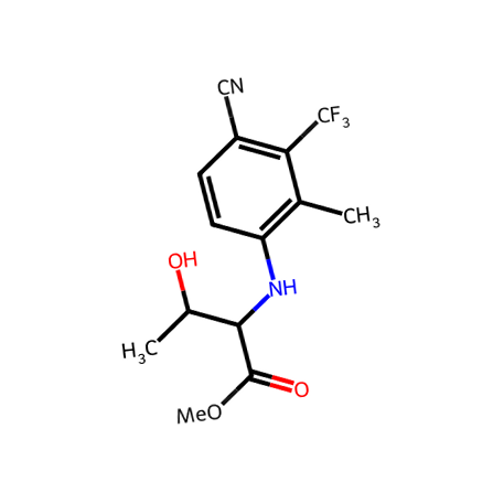 COC(=O)C(Nc1ccc(C#N)c(C(F)(F)F)c1C)C(C)O